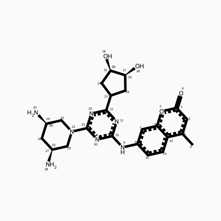 Cc1cc(=O)oc2cc(Nc3nc(C4C[C@@H](O)[C@@H](O)C4)nc(N4C[C@H](N)C[C@H](N)C4)n3)ccc12